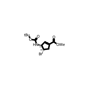 COC(=O)C1=C[C@H](NC(=O)OC(C)(C)C)[C@@H](Br)C1